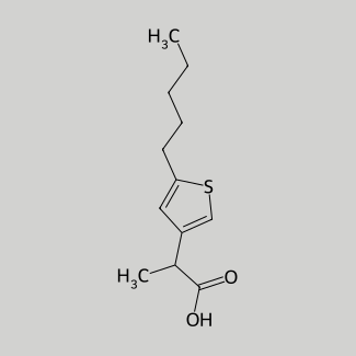 CCCCCc1cc(C(C)C(=O)O)cs1